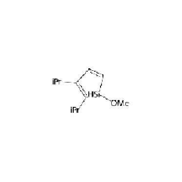 CO[SiH]1C=CC(C(C)C)=C1C(C)C